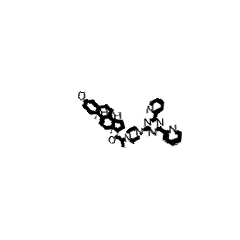 CC(C(=O)[C@H]1CC[C@H]2[C@@H]3CCC4=CC(=O)C=C[C@]4(C)C3=CC[C@]12C)N1CCN(c2nc(-c3ccccn3)nc(-c3ccccn3)n2)CC1